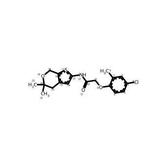 Cc1cc(Cl)ccc1OCC(=O)Nc1cc2c(s1)COC(C)(C)C2